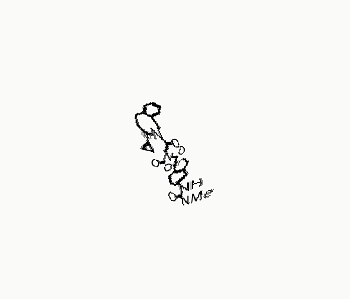 CNC(=O)Nc1ccc2c(c1)CC[C@@]21OC(=O)N(CC(=O)N2Cc3ccccc3CC[C@@H]2C2CC2)C1=O